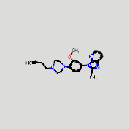 C#CCCN1CCN(c2ccc(-n3c(C)nc4cccnc43)cc2OC)CC1